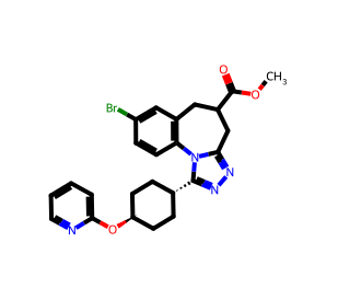 COC(=O)C1Cc2cc(Br)ccc2-n2c(nnc2[C@H]2CC[C@H](Oc3ccccn3)CC2)C1